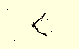 CCCCCCCCCCCCCCOC(=O)C1(C(=O)OCCCCCCCCCCCCCC)CCC1